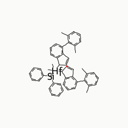 Cc1cccc(C)c1-c1cccc2c1C=C[CH]2[Hf]([CH3])([CH3])([CH]1C=Cc2c(-c3c(C)cccc3C)cccc21)=[Si](c1ccccc1)c1ccccc1